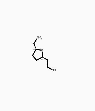 NC[C@@H]1CC[C@H](CCO)O1